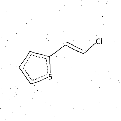 Cl/C=C/c1cccs1